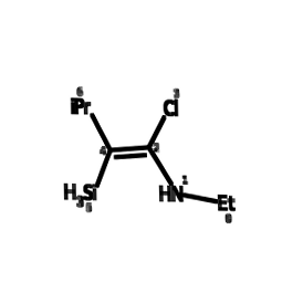 CCNC(Cl)=C([SiH3])C(C)C